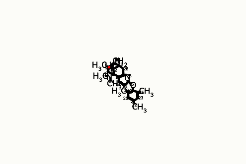 C=C[C@@H]1[C@H]2C=C(C)C[C@]1(N(C)C)c1ccc(Oc3c(C)cc(C)cc3C)nc1C2